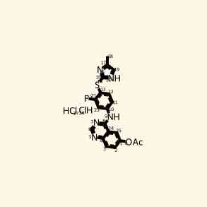 CC(=O)Oc1ccc2ncnc(Nc3ccc(Sc4nc(C)c[nH]4)c(F)c3)c2c1.Cl.Cl